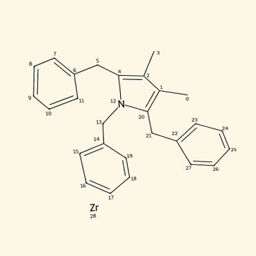 Cc1c(C)c(Cc2ccccc2)n(Cc2ccccc2)c1Cc1ccccc1.[Zr]